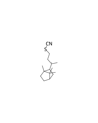 C[C](CCSC#N)C1CC2CCC1(C)C2(C)C